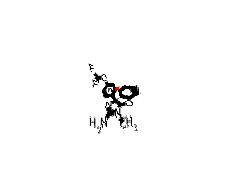 CCCc1ccccc1[C@@]1(c2ccc(OC(F)F)cc2)N=C(N)N(C)C1=O